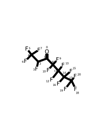 O=C(C(F)C(F)(F)F)C(F)(F)C(F)(F)C(F)(F)C(F)(F)F